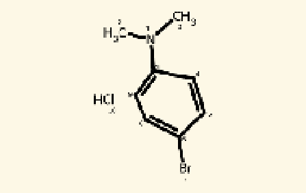 CN(C)c1ccc(Br)cc1.Cl